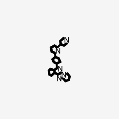 c1cc(-c2ccncc2)nc(-c2ccc(-c3nc4c(nc5ccccn54)c4ccccc34)cc2)c1